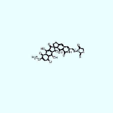 COC1=CC(=O)c2c(O)c3c(c(O)c2C1=O)C(=O)C1(CCc2cc4cc(/C=N/N5C(=O)CSC5=S)[nH]c(=O)c4c(O)c21)C3=O